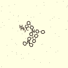 CC1(C)c2ccccc2-c2ccc(N(c3ccc(-c4ccccc4)cc3)c3cccc(C4(c5cccc(N(c6ccccc6)c6ccccc6)c5)c5ccccc5-c5ccccc54)c3)cc21